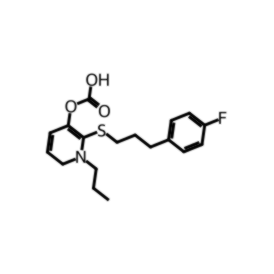 CCCN1CC=CC(OC(=O)O)=C1SCCCc1ccc(F)cc1